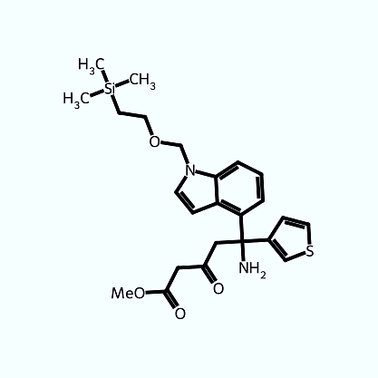 COC(=O)CC(=O)CC(N)(c1ccsc1)c1cccc2c1ccn2COCC[Si](C)(C)C